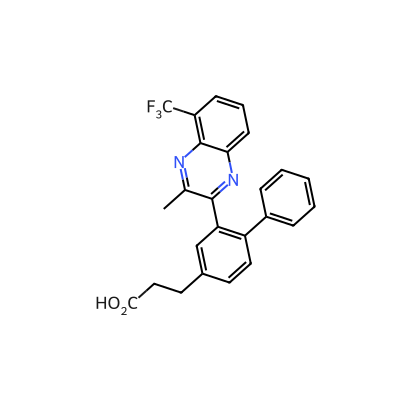 Cc1nc2c(C(F)(F)F)cccc2nc1-c1cc(CCC(=O)O)ccc1-c1ccccc1